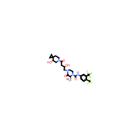 C[C@H]1C(=O)N(CC(O)CC(=O)N2CCC3(CC3)[C@H](O)C2)CCN1C(=O)Nc1ccc(C(F)(F)F)c(C(F)(F)F)c1